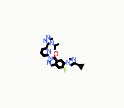 CC(C)n1cnnc1-c1cccc(-n2ncc3cc(F)c(-n4cnc(C5CC5)c4)cc3c2=O)n1